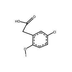 O=C(O)Cc1cc(Cl)ccc1OI